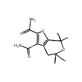 CC1(C)Cc2c(sc(C(N)=O)c2C(N)=O)C(C)(C)O1